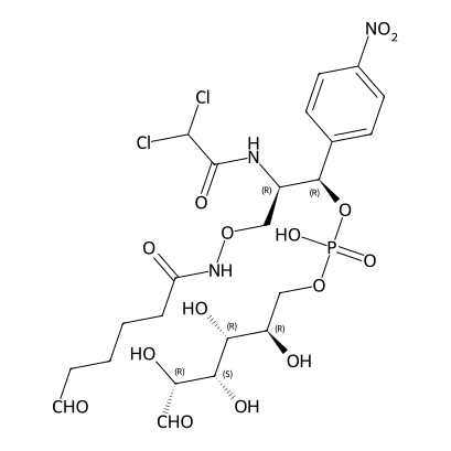 O=CCCCCC(=O)NOC[C@@H](NC(=O)C(Cl)Cl)[C@H](OP(=O)(O)OC[C@@H](O)[C@@H](O)[C@H](O)[C@@H](O)C=O)c1ccc([N+](=O)[O-])cc1